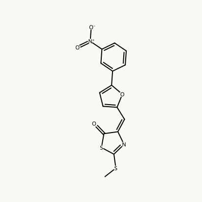 CSC1=NC(=Cc2ccc(-c3cccc([N+](=O)[O-])c3)o2)C(=O)S1